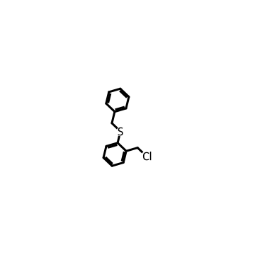 ClCc1ccccc1SCc1ccccc1